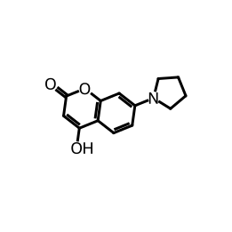 O=c1cc(O)c2ccc(N3CCCC3)cc2o1